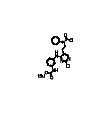 CC(C)(C)OC(=O)Nc1cccc(Nc2nc(Cl)ncc2CCN(C(=O)Cl)c2ccccc2)c1